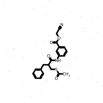 CC(=O)SCC(Cc1ccccc1)C(=O)Nc1cccc(C(=O)OCC#N)c1